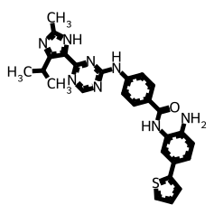 Cc1nc(C(C)C)c(-c2ncnc(Nc3ccc(C(=O)Nc4cc(-c5cccs5)ccc4N)cc3)n2)[nH]1